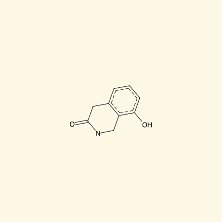 O=C1Cc2cccc(O)c2C[N]1